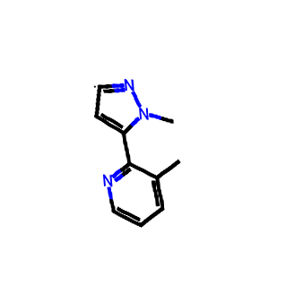 Cc1cccnc1-c1c[c]nn1C